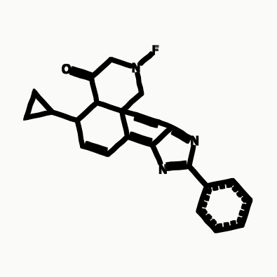 O=C1CN(F)CC23C=CC4=NC(c5ccccc5)=NC4=C2C=CC(C2CC2)C13